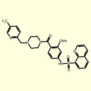 COc1cc(NS(=O)(=O)c2cccc3cccnc23)ccc1C(=O)N1CCN(Cc2ccc(C(F)(F)F)cn2)CC1